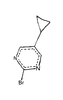 Brc1ncc(C2CC2)cn1